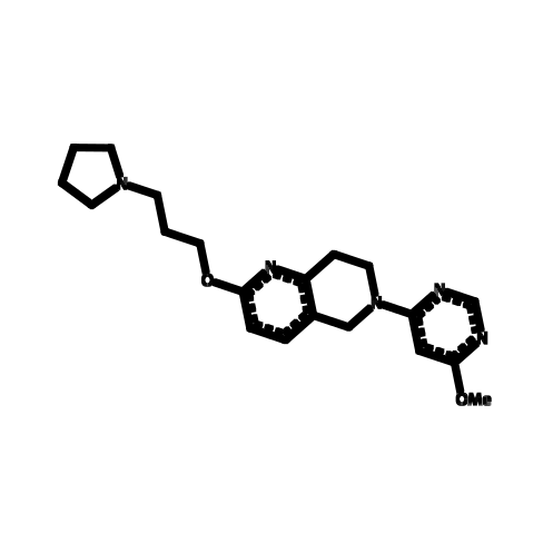 COc1cc(N2CCc3nc(OCCCN4CCCC4)ccc3C2)ncn1